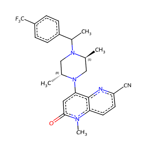 CC(c1ccc(C(F)(F)F)cc1)N1C[C@@H](C)N(c2cc(=O)n(C)c3ccc(C#N)nc23)C[C@@H]1C